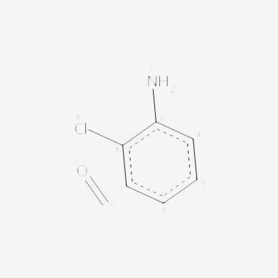 C=O.Nc1ccccc1Cl